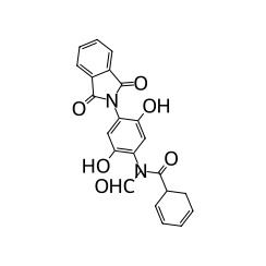 O=CN(C(=O)C1C=CC=CC1)c1cc(O)c(N2C(=O)c3ccccc3C2=O)cc1O